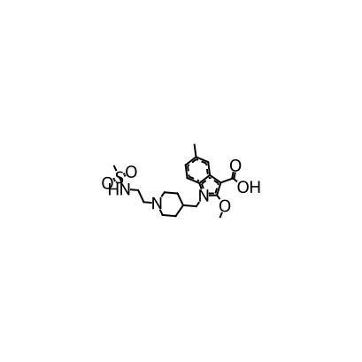 COc1c(C(=O)O)c2cc(C)ccc2n1CC1CCN(CCNS(C)(=O)=O)CC1